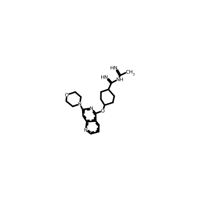 CC(=N)NC(=N)C1CCC(Oc2nc(N3CCOCC3)cc3ncccc23)CC1